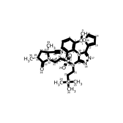 COc1cccc(OC)c1-n1c(-c2ccco2)nnc1N(CC[Si](C)(C)C)S(=O)(=O)CCN1C(=O)[C@H](C)C[C@@]1(C)C#N